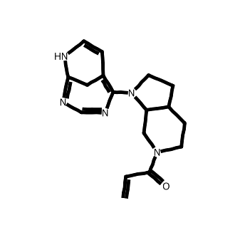 C=CC(=O)N1CCC2CCN(C3=C4C=CNC(=NC=N3)C4)C2C1